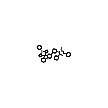 C1=C(c2ccccc2)N=C(c2ccccc2)C(c2cccc(-c3ccc4c(c3)C3(c5ccccc5-4)c4ccccc4N(c4ccccc4)c4ccccc43)c2)N1